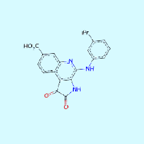 CC(C)c1cccc(Nc2nc3cc(C(=O)O)ccc3c3c2NC(=O)C3=O)c1